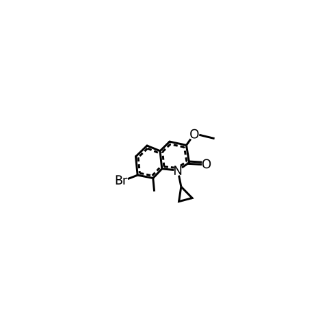 COc1cc2ccc(Br)c(C)c2n(C2CC2)c1=O